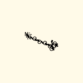 C=C[C@H]1OC(C)(C)C[C@@]2(CO2)[C@@H]1OCCOCCOCCOCCN=[N+]=[N-]